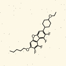 CCCCCOc1cc2oc3cc(C4CCC(OCC)CC4)c(F)c(F)c3c2c(F)c1F